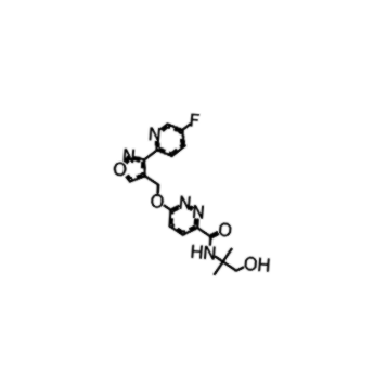 CC(C)(CO)NC(=O)c1ccc(OCc2conc2-c2ccc(F)cn2)nn1